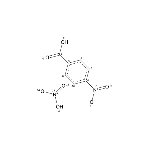 O=C(O)c1ccc([N+](=O)[O-])cc1.O=[N+]([O-])O